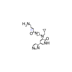 NC/C=C/C(=O)N1CC(N(CC2CC2)c2cc(-c3ccncn3)c[nH]c2=O)C1